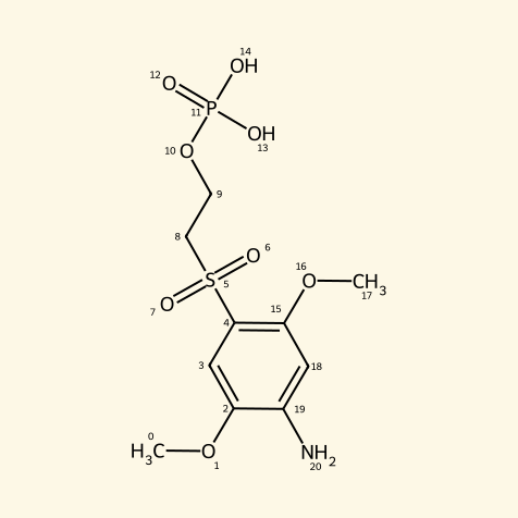 COc1cc(S(=O)(=O)CCOP(=O)(O)O)c(OC)cc1N